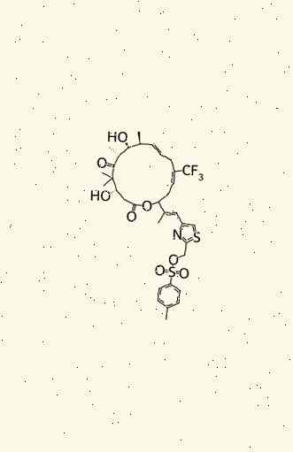 C/C(=C\c1csc(COS(=O)(=O)c2ccc(C)cc2)n1)C1C/C=C(/C(F)(F)F)C/C=C/[C@H](C)[C@H](O)[C@@H](C)C(=O)C(C)(C)[C@@H](O)CC(=O)O1